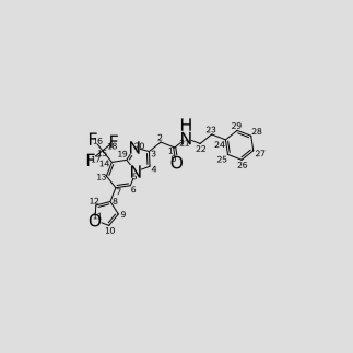 O=C(Cc1cn2cc(-c3ccoc3)cc(C(F)(F)F)c2n1)NCCc1ccccc1